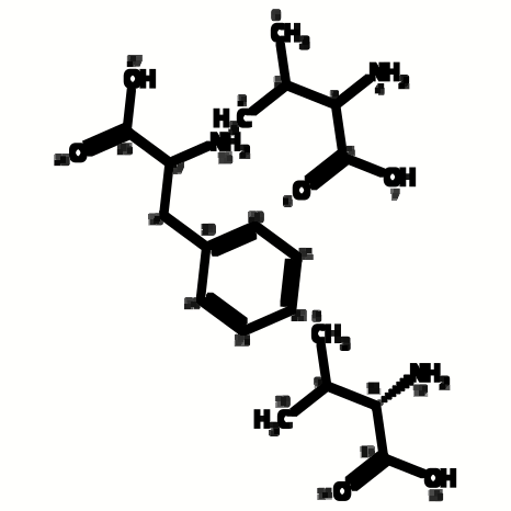 CC(C)C(N)C(=O)O.CC(C)[C@H](N)C(=O)O.NC(Cc1ccccc1)C(=O)O